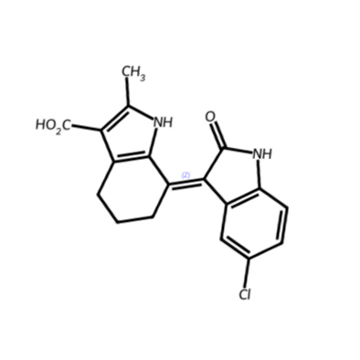 Cc1[nH]c2c(c1C(=O)O)CCC/C2=C1/C(=O)Nc2ccc(Cl)cc21